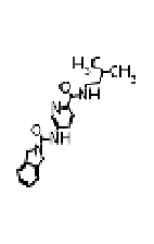 CC(C)CCNC(=O)c1ccc(NC(=O)N2Cc3ccccc3C2)cn1